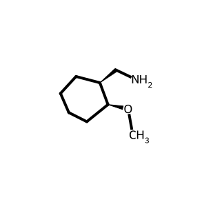 CO[C@H]1CCCC[C@H]1CN